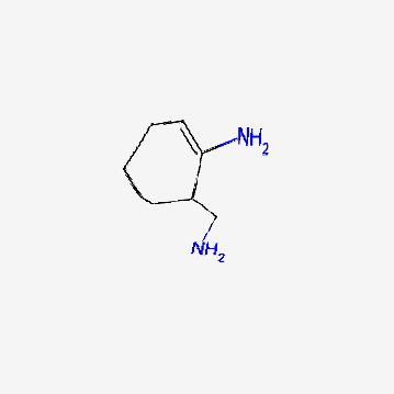 NCC1CCCC=C1N